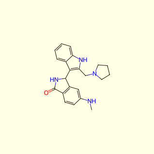 CNc1ccc2c(c1)C(c1c(CN3CCCC3)[nH]c3ccccc13)NC2=O